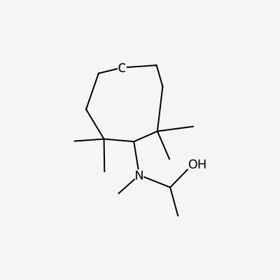 CC(O)N(C)C1C(C)(C)CCCCCC1(C)C